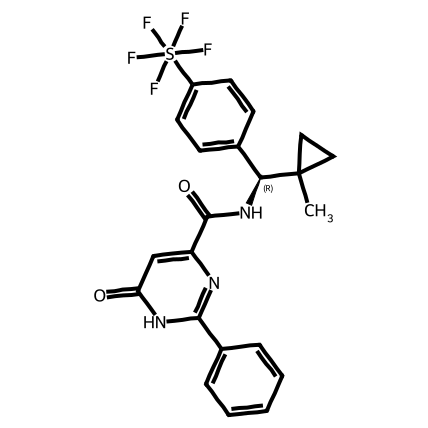 CC1([C@@H](NC(=O)c2cc(=O)[nH]c(-c3ccccc3)n2)c2ccc(S(F)(F)(F)(F)F)cc2)CC1